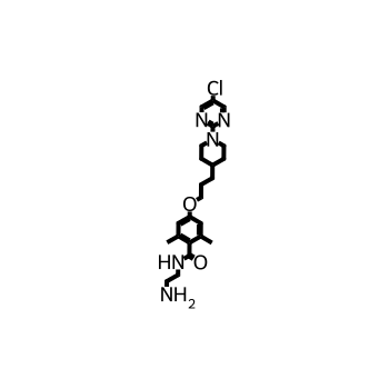 Cc1cc(OCCCC2CCN(c3ncc(Cl)cn3)CC2)cc(C)c1C(=O)NCCN